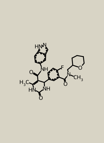 CC1=C(C(=O)Nc2ccc3[nH]ncc3c2)C(c2ccc(F)c(C(=O)N(C)CC3CCCCO3)c2)NC(=O)N1